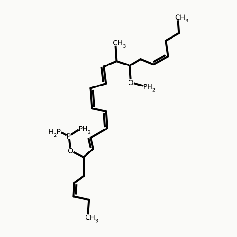 CC/C=C\CC(/C=C/C=C\C=C/C=C/C(C)C(C/C=C\CCC)OP)OP(P)P